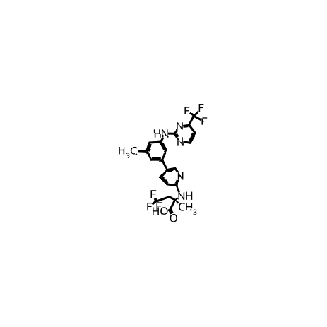 Cc1cc(Nc2nccc(C(F)(F)F)n2)cc(-c2ccc(N[C@@](C)(CC(F)(F)F)C(=O)O)nc2)c1